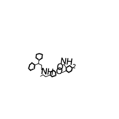 CC(Cc1ccc(OCc2ccccc2C(N)=O)cc1)NCCC(c1ccccc1)c1ccccc1